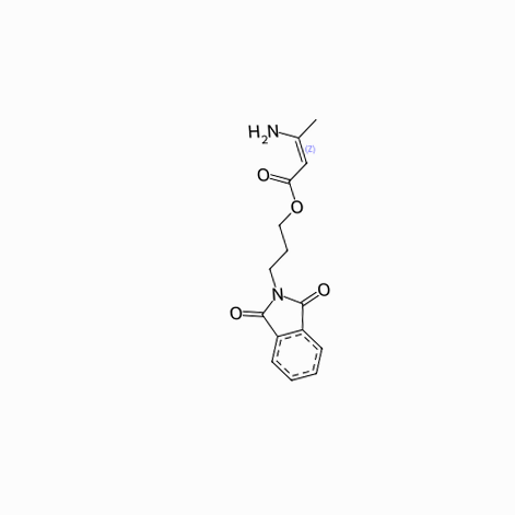 C/C(N)=C/C(=O)OCCCN1C(=O)c2ccccc2C1=O